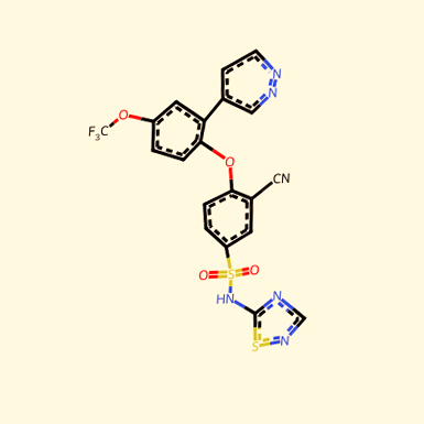 N#Cc1cc(S(=O)(=O)Nc2ncns2)ccc1Oc1ccc(OC(F)(F)F)cc1-c1ccnnc1